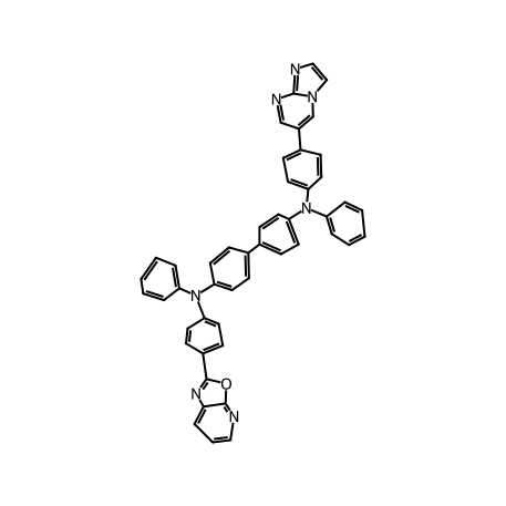 c1ccc(N(c2ccc(-c3ccc(N(c4ccccc4)c4ccc(-c5nc6cccnc6o5)cc4)cc3)cc2)c2ccc(-c3cnc4nccn4c3)cc2)cc1